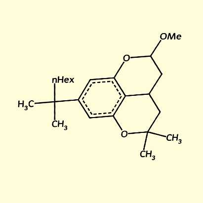 CCCCCCC(C)(C)c1cc2c3c(c1)OC(C)(C)CC3CC(OC)O2